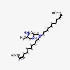 CCCCCCCC/C=C\CCCCCCCCN(CCCCCCCC/C=C\CCCCCCCC)CC(C)NCC(C)N